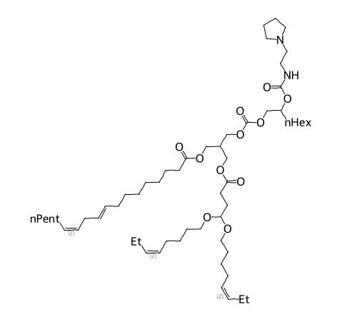 CC/C=C\CCCCOC(CCC(=O)OCC(COC(=O)CCCCCCCC=CC/C=C\CCCCC)COC(=O)OCC(CCCCCC)OC(=O)NCCN1CCCC1)OCCCC/C=C\CC